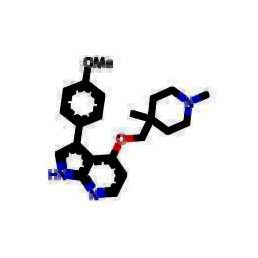 COc1ccc(-c2c[nH]c3nccc(OCC4(C)CCN(C)CC4)c23)cc1